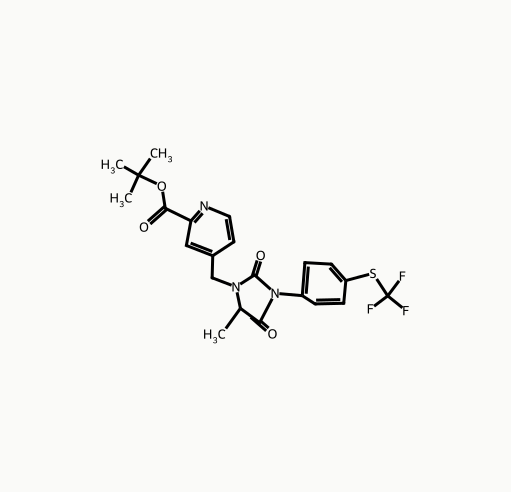 CC1C(=O)N(c2ccc(SC(F)(F)F)cc2)C(=O)N1Cc1ccnc(C(=O)OC(C)(C)C)c1